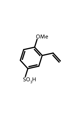 C=Cc1cc(S(=O)(=O)O)ccc1OC